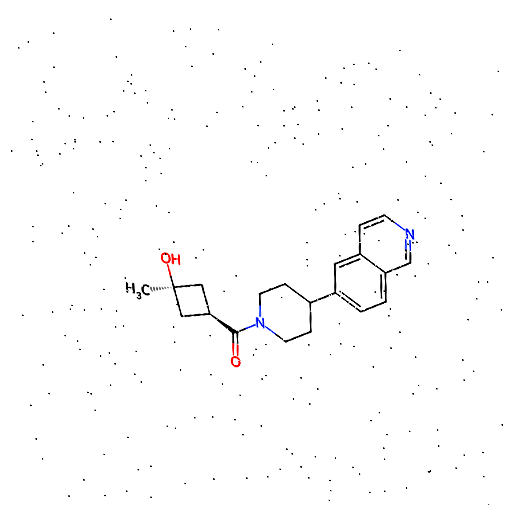 C[C@]1(O)C[C@@H](C(=O)N2CCC(c3ccc4cnccc4c3)CC2)C1